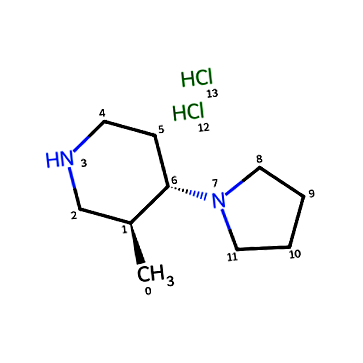 C[C@H]1CNCC[C@@H]1N1CCCC1.Cl.Cl